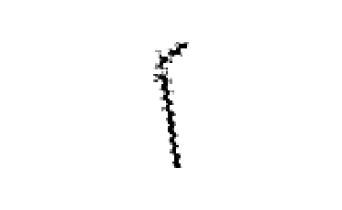 CCCCCCCCCCCCCCCCCC(=O)OCC(C)OCCCC